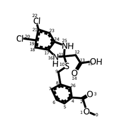 COC(=O)c1cccc(CSC2(CC(=O)O)Nc3cc(Cl)c(Cl)cc3N2)c1